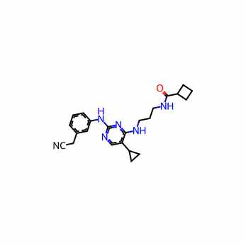 N#CCc1cccc(Nc2ncc(C3CC3)c(NCCCNC(=O)C3CCC3)n2)c1